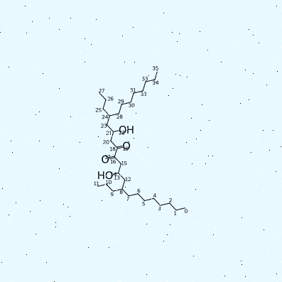 CCCCCCCCC(CCC)CC(O)CC(=O)C(=O)CC(O)CC(CCC)CCCCCCCC